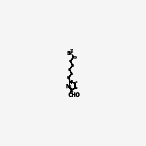 O=Cc1ccn(CCCCCCBr)n1